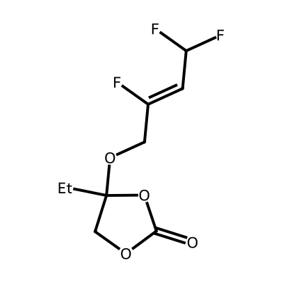 CCC1(OCC(F)=CC(F)F)COC(=O)O1